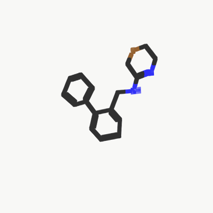 c1ccc(-c2ccccc2CNC2=NCCSC2)cc1